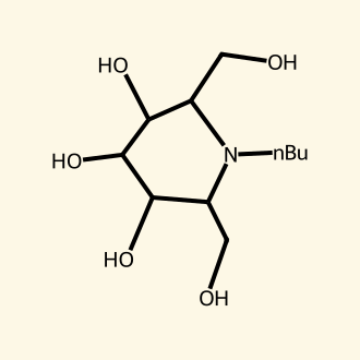 CCCCN1C(CO)C(O)C(O)C(O)C1CO